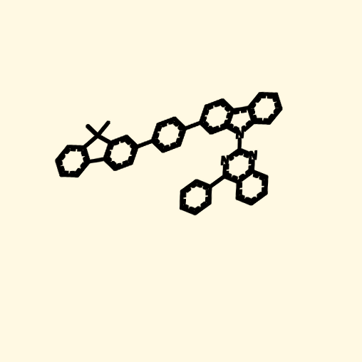 CC1(C)c2ccccc2-c2ccc(-c3ccc(-c4ccc5c6ccccc6n(-c6nc(-c7ccccc7)c7ccccc7n6)c5c4)cc3)cc21